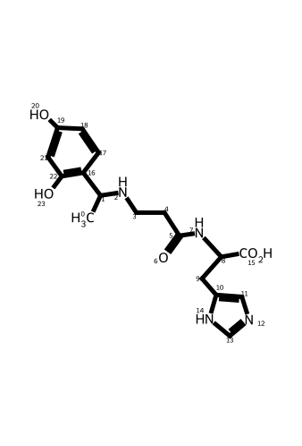 CC(NCCC(=O)NC(Cc1cnc[nH]1)C(=O)O)c1ccc(O)cc1O